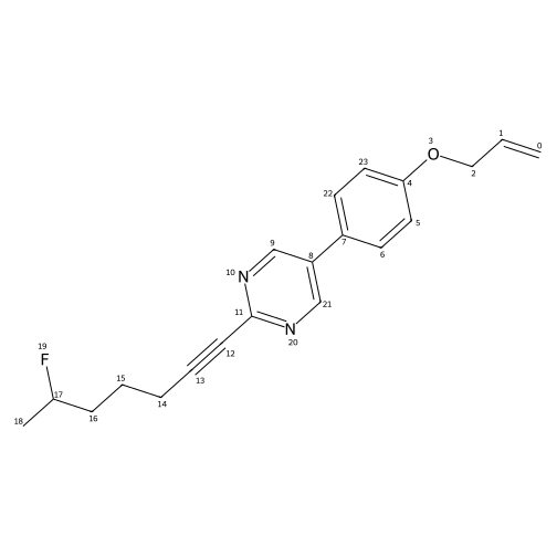 C=CCOc1ccc(-c2cnc(C#CCCCC(C)F)nc2)cc1